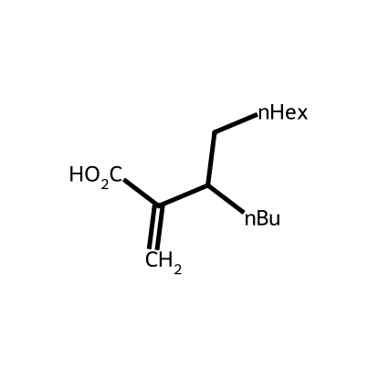 C=C(C(=O)O)C(CCCC)CCCCCCC